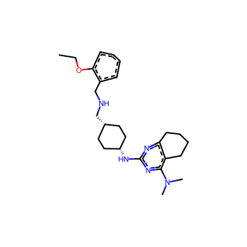 CCOc1ccccc1CNC[C@H]1CC[C@@H](Nc2nc3c(c(N(C)C)n2)CCCC3)CC1